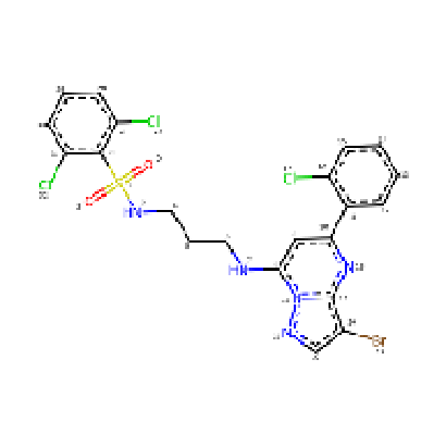 O=S(=O)(NCCCNc1cc(-c2ccccc2Cl)nc2c(Br)cnn12)c1c(Cl)cccc1Cl